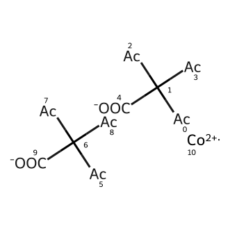 CC(=O)C(C(C)=O)(C(C)=O)C(=O)[O-].CC(=O)C(C(C)=O)(C(C)=O)C(=O)[O-].[Co+2]